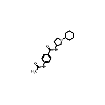 CC(=O)Nc1ccc(C(=O)NC2CCN(C3CCCCC3)C2)cc1